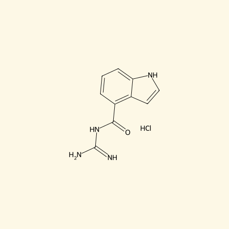 Cl.N=C(N)NC(=O)c1cccc2[nH]ccc12